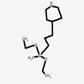 CCO[Si](C)(CCCC1CCNCC1)OCC